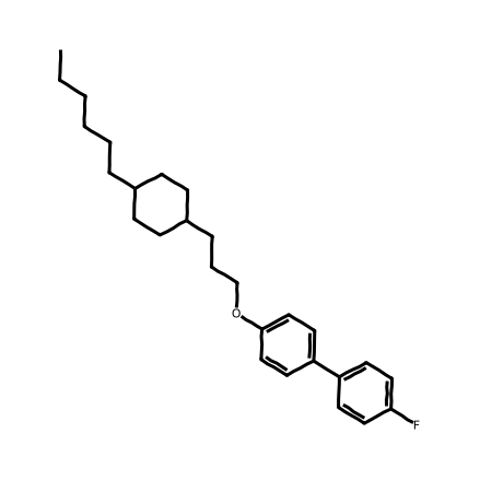 CCCCCCC1CCC(CCCOc2ccc(-c3ccc(F)cc3)cc2)CC1